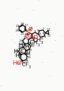 C[C@H](C(CC1(O)CCC2(CC1)CC2)S(=O)(=O)c1ccccc1)[C@H]1CC[C@H]2[C@@H]3CC[C@H]4C[C@](O)(C(F)(F)F)CC[C@]4(C)[C@H]3CC[C@]12C